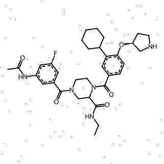 CCNC(=O)C1CN(C(=O)c2cc(F)cc(NC(C)=O)c2)CCN1C(=O)c1ccc(O[C@H]2CCNC2)c(C2CCCCC2)c1